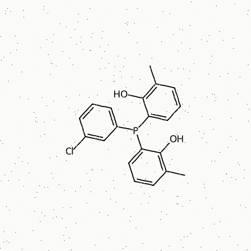 Cc1cccc(P(c2cccc(Cl)c2)c2cccc(C)c2O)c1O